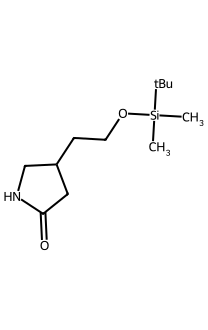 CC(C)(C)[Si](C)(C)OCCC1CNC(=O)C1